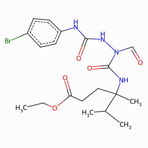 CCOC(=O)CCC(C)(NC(=O)N(C=O)NC(=O)Nc1ccc(Br)cc1)C(C)C